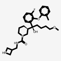 COCCCC[C@@](O)(c1cccc(F)c1Oc1ccccc1C)[C@@H]1CCCN(C(=O)NCC2CNC2)C1